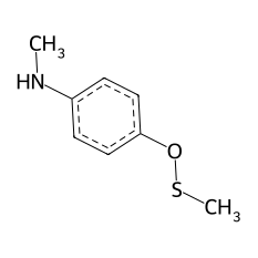 CNc1ccc(OSC)cc1